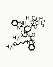 COCCCCn1c(C(=O)N(CC(C)C)[C@H]2C[C@@H](c3nc4ccccc4[nH]3)CN(C(=O)OC(C)(C)C)C2)nc2ccccc21